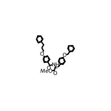 COC(=O)[C@H](Cc1ccc(OCc2ccccc2)cc1)NC(=O)c1ccc(OCCCc2ccccc2)cc1